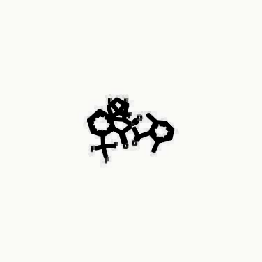 Cc1cccc(C)c1C(=O)P(=O)(C(=O)c1c(C(F)(F)F)cccc1C(F)(F)F)C1CCCC1